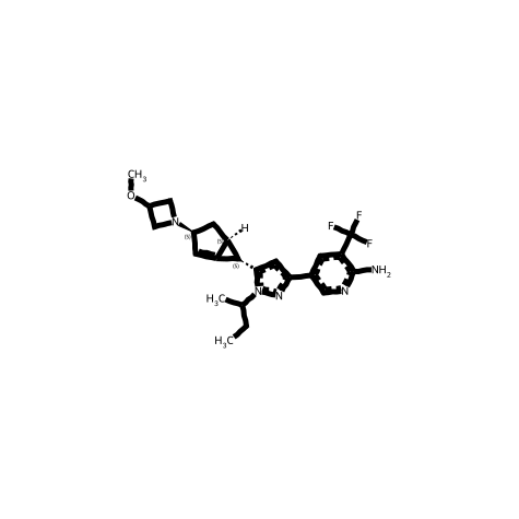 CCC(C)n1nc(-c2cnc(N)c(C(F)(F)F)c2)cc1[C@@H]1C2=C[C@@H](N3CC(OC)C3)C[C@H]21